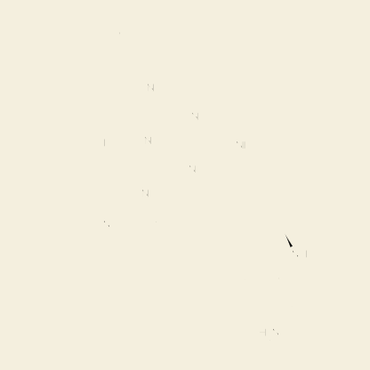 NCC(=O)N[C@H]1CC[C@H](Nc2nc(N3CCOCC3)nc(-n3c(C(F)F)nc4ccccc43)n2)CC1